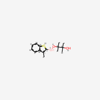 Cc1c(BOC(C)(C)C(C)(C)O)sc2ccccc12